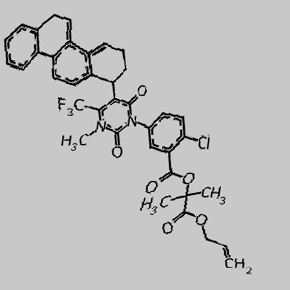 C=CCOC(=O)C(C)(C)OC(=O)c1cc(-n2c(=O)c(C3CCC=c4c3ccc3c4=CCc4ccccc4-3)c(C(F)(F)F)n(C)c2=O)ccc1Cl